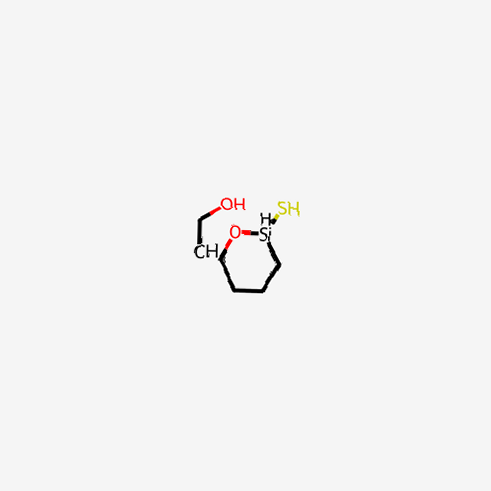 CCO.S[SiH]1CCCCO1